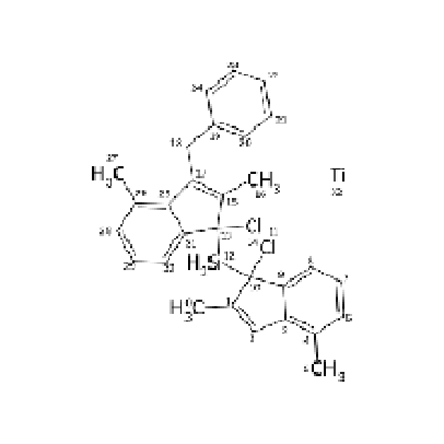 CC1=Cc2c(C)cccc2C1(Cl)[SiH2]C1(Cl)C(C)=C(Cc2ccccc2)c2c(C)cccc21.[Ti]